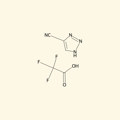 N#Cc1c[nH]nn1.O=C(O)C(F)(F)F